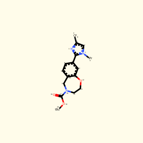 CC(C)n1cc(C(F)(F)F)nc1-c1ccc2c(c1)OCCN(C(=O)OC(C)(C)C)C2